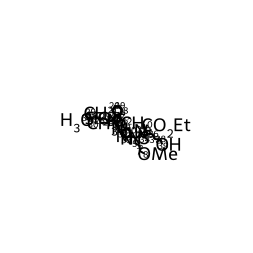 CCOC(=O)c1nc(N(CCCOC)c2cc(C)c(/N=c3\sc4ccccc4n3COCC[Si](C)(C)C)nn2)sc1CCCO